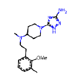 COc1c(C)cccc1CCN(C)C1CCN(c2nc(N)n[nH]2)CC1